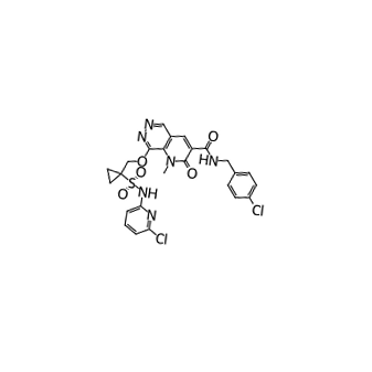 Cn1c(=O)c(C(=O)NCc2ccc(Cl)cc2)cc2cnnc(OCC3(S(=O)(=O)Nc4cccc(Cl)n4)CC3)c21